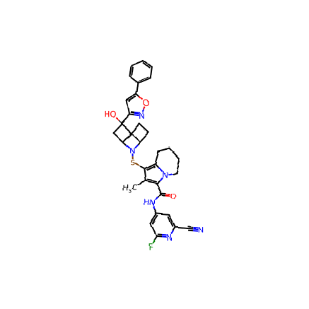 Cc1c(SN2C3CCC34C2CC4(O)c2cc(-c3ccccc3)on2)c2n(c1C(=O)Nc1cc(F)nc(C#N)c1)CCCC2